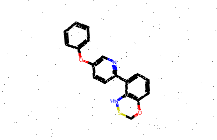 c1ccc(Oc2ccc(-c3cccc4c3NSCO4)nc2)cc1